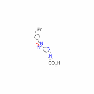 CC(C)Cc1ccc(-c2nc(-c3ccc(CN4CC(C(=O)O)C4)nc3)no2)cc1